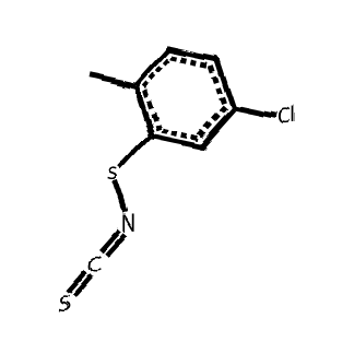 Cc1ccc(Cl)cc1SN=C=S